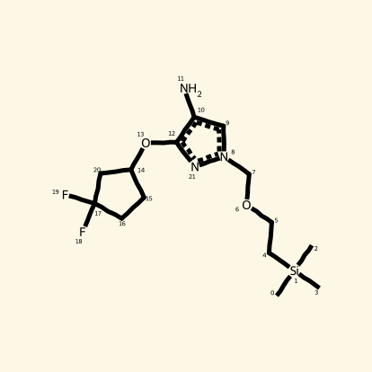 C[Si](C)(C)CCOCn1cc(N)c(OC2CCC(F)(F)C2)n1